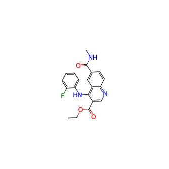 CCOC(=O)c1cnc2ccc(C(=O)NC)cc2c1Nc1ccccc1F